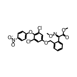 CO/N=C(/C(=O)OC)c1ccccc1COc1cc(Cl)c(Oc2ccc([N+](=O)[O-])cc2)c(Cl)c1